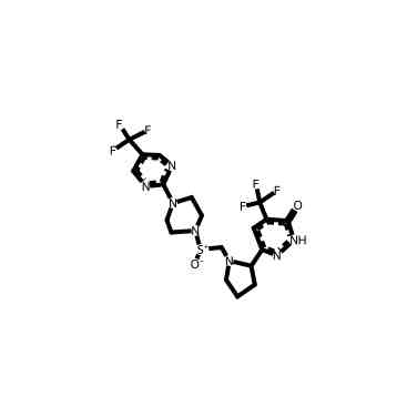 O=c1[nH]nc(C2CCCN2C[S+]([O-])N2CCN(c3ncc(C(F)(F)F)cn3)CC2)cc1C(F)(F)F